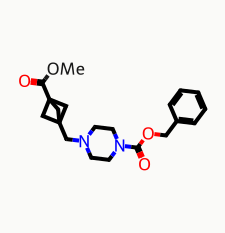 COC(=O)C12CC(CN3CCN(C(=O)OCc4ccccc4)CC3)(C1)C2